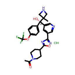 CC(=O)N1CCC(c2nc(-c3cncc([C@@](O)(c4ccc(OC(F)(F)F)cc4)C4(C)CNC4)c3)no2)CC1.Cl